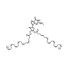 C=C1[C@H](COC(=O)CC/C=C\C/C=C\C/C=C\C/C=C\C/C=C\C/C=C\CC)[C@@H](OC(=O)CCC=CC/C=C\C/C=C\C/C=C\C/C=C\C/C=C\CC)C[C@@H]1n1cnc2c(=O)[nH]c(N)nc21